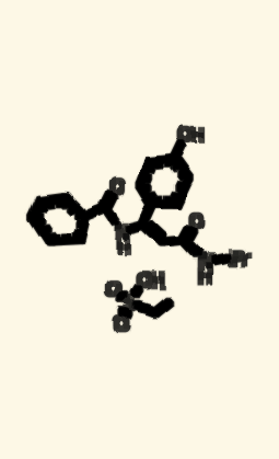 CC(C)NC(=O)C=C(NC(=O)c1ccccc1)c1ccc(O)cc1.CCS(=O)(=O)O